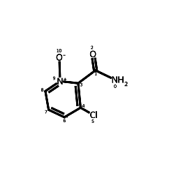 NC(=O)c1c(Cl)[c]cc[n+]1[O-]